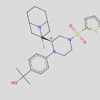 CC(C)(O)c1ccc(N2CCN(S(=O)(=O)c3cccs3)C[C@@H]2CN2C3CCCC2CC(F)C3)cc1